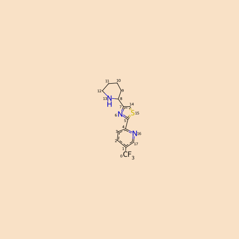 FC(F)(F)c1ccc(-c2nc(C3CCCCN3)cs2)nc1